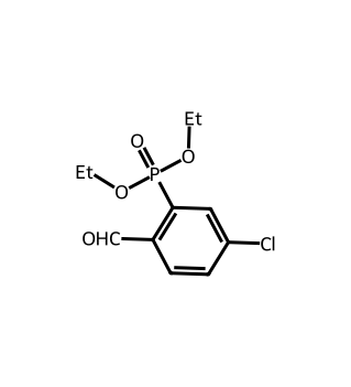 CCOP(=O)(OCC)c1cc(Cl)ccc1C=O